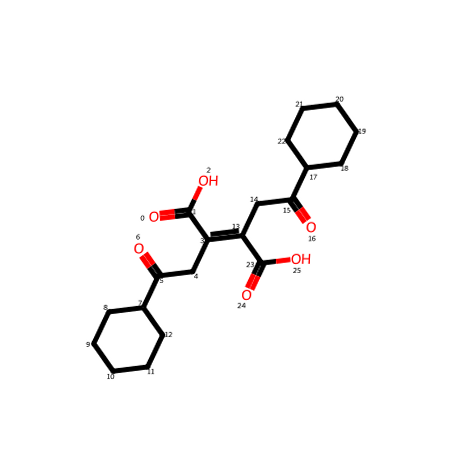 O=C(O)C(CC(=O)C1CCCCC1)=C(CC(=O)C1CCCCC1)C(=O)O